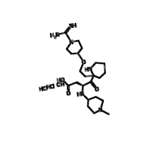 CN1CCC(N[C@@H](CC(=O)O)C(=O)C2(CCOC3CCN(C(=N)N)CC3)CCCCN2)CC1.Cl.Cl.Cl